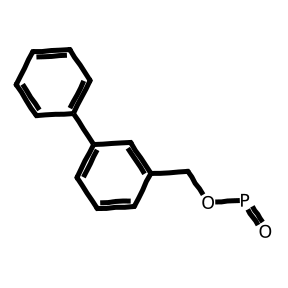 O=POCc1cccc(-c2ccccc2)c1